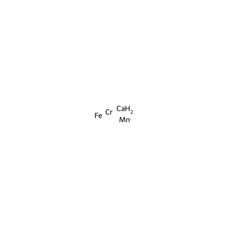 [CaH2].[Cr].[Fe].[Mn]